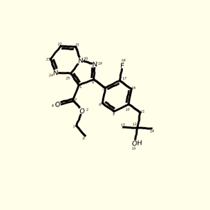 CCOC(=O)c1c(-c2ccc(CC(C)(C)O)cc2F)nn2cccnc12